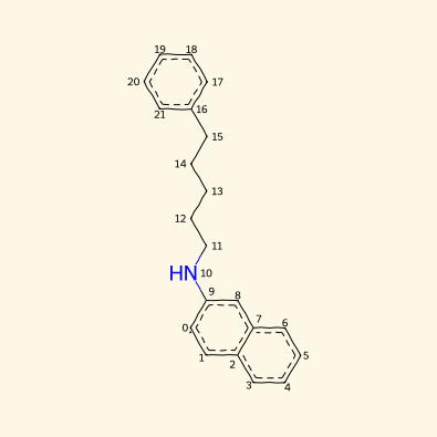 [c]1cc2ccccc2cc1NCCCCCc1ccccc1